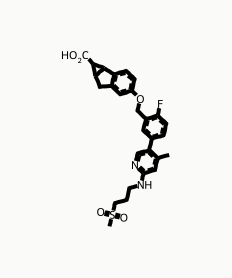 Cc1cc(NCCCS(C)(=O)=O)ncc1-c1ccc(F)c(COc2ccc3c(c2)CC2C(C(=O)O)C32)c1